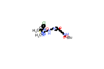 Cc1sc2c(c1C)C(c1ccc(Cl)cc1)=N[C@@H](CC(=O)NCCCN1CCC(C(=O)CCCCCNC(=O)OC(C)(C)C)CC1)c1nnc(C)n1-2